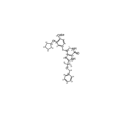 COc1ccc(CN2CNC(=O)c3[nH]c(C(C)(C)OCc4ccccc4)nc32)cc1OC1CCCC1